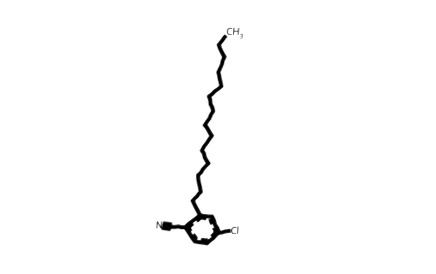 CCCCCCCCCCCCCCc1cc(Cl)ccc1C#N